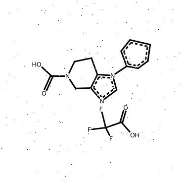 O=C(O)C(F)(F)F.O=C(O)N1CCc2c(ncn2-c2ccccc2)C1